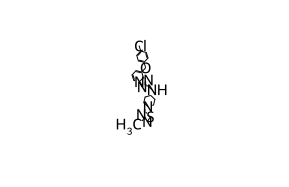 Cc1nsc(N2CCC(Nc3nc4c(Oc5ccc(Cl)cc5)cccn4n3)CC2)n1